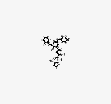 O=C(N[C@@H]1CCC[C@H]1O)C(O)=CC(=O)c1cc(Cc2ccc(F)cc2)cn(Cc2ccccc2F)c1=O